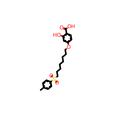 Cc1ccc(S(=O)(=O)CCCCCCCCOc2ccc(C(=O)O)c(O)c2)cc1